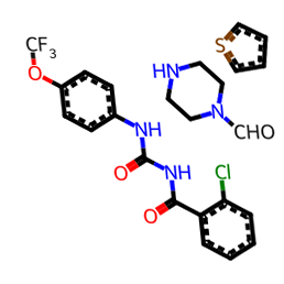 O=C(NC(=O)c1ccccc1Cl)Nc1ccc(OC(F)(F)F)cc1.O=CN1CCNCC1.c1ccsc1